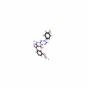 Nc1onc(-c2cccc(OC(F)(F)F)c2)c1C(=O)N1CCN(c2ccc(F)cc2)CC1